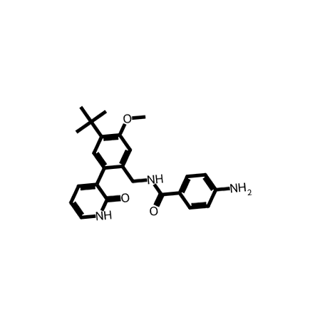 COc1cc(CNC(=O)c2ccc(N)cc2)c(-c2ccc[nH]c2=O)cc1C(C)(C)C